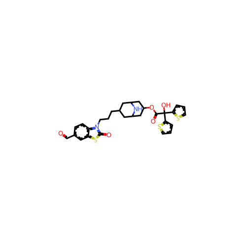 O=Cc1ccc2c(c1)sc(=O)n2CCCC1CC2CC(OC(=O)C(O)(c3cccs3)c3cccs3)CC(C1)N2